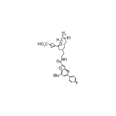 CCC(C)(C)CCCC(CCNC(=O)c1cc2nc(-c3ccc(F)cc3)cc(C(C)(C)C)c2o1)CC(=O)C12CC(C(=O)O)(C1)C2